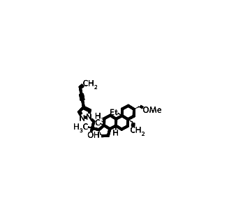 C=CC#Cc1cnn(C[C@@](C)(O)[C@H]2CCC3[C@@H]4CC[C@]5(C=C)C[C@@H](COC)CC[C@]5(CC)C4CC[C@@]32C)c1